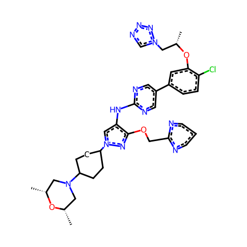 C[C@@H]1CN(C2CCC(n3cc(Nc4ncc(-c5ccc(Cl)c(O[C@@H](C)Cn6cnnn6)c5)cn4)c(OCc4ncccn4)n3)CC2)C[C@H](C)O1